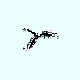 O=C(CCCCCBr)OC(CCC(F)(F)C(F)(F)C(F)(F)C(F)(F)C(F)(F)C(F)(F)F)CCC(F)(F)C(F)(F)C(F)(F)C(F)(F)C(F)(F)C(F)(F)F